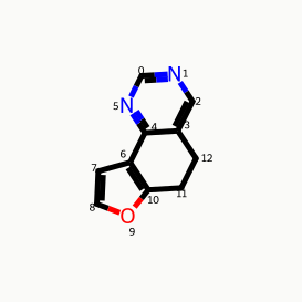 c1ncc2c(n1)-c1ccoc1CC2